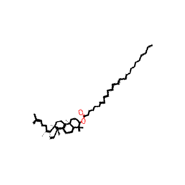 CCCCCCCCCCCCCCCCCCCCCCCCCC(=O)OC1CC[C@]2(C)C3=C(CCC2C1(C)C)[C@]1(C)CC[C@H]([C@H](C)CCC=C(C)C)[C@@]1(C)CC3